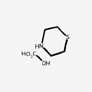 C1CSCCN1.O=C(O)O